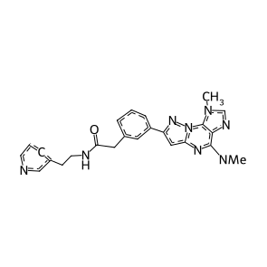 CNc1nc2cc(-c3cccc(CC(=O)NCCc4cccnc4)c3)nn2c2c1ncn2C